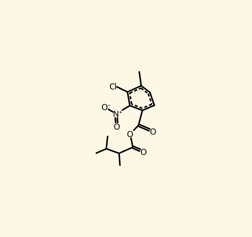 Cc1ccc(C(=O)OC(=O)C(C)C(C)C)c([N+](=O)[O-])c1Cl